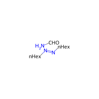 CCCCCCN=NCCCCCC.NC=O